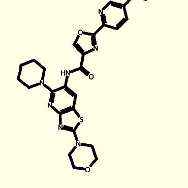 COc1ccc(-c2nc(C(=O)Nc3cc4sc(N5CCOCC5)nc4nc3N3CCCCC3)co2)nc1